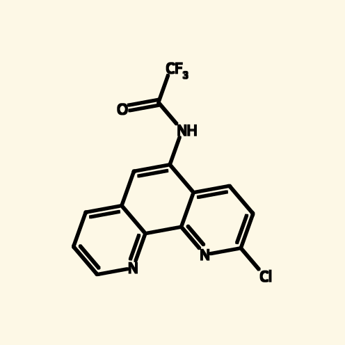 O=C(Nc1cc2cccnc2c2nc(Cl)ccc12)C(F)(F)F